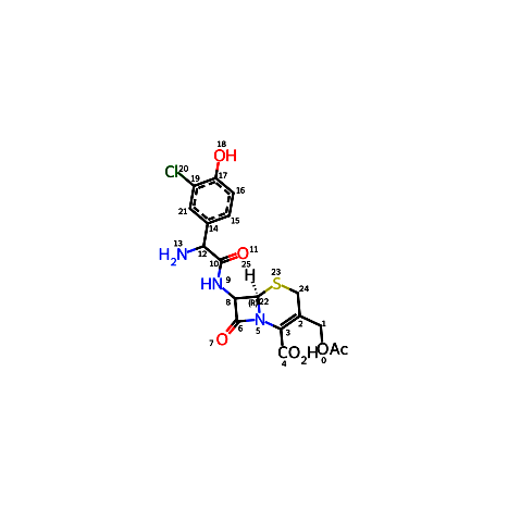 CC(=O)OCC1=C(C(=O)O)N2C(=O)C(NC(=O)C(N)c3ccc(O)c(Cl)c3)[C@H]2SC1